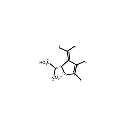 CC(C)=C1CSC(C)=C1C.O=C(O)CC(=O)O